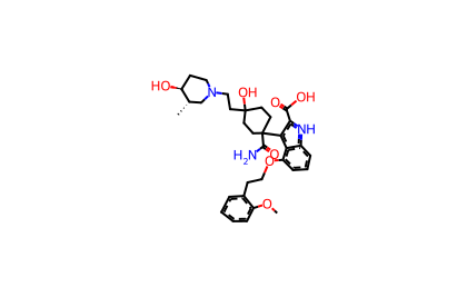 COc1ccccc1CCOc1cccc2[nH]c(C(=O)O)c(C3(C(N)=O)CCC(O)(CCN4CC[C@H](O)[C@@H](C)C4)CC3)c12